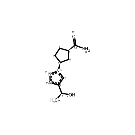 C[C@H](O)c1cn([C@H]2CC[C@@H](C(N)=O)C2)nn1